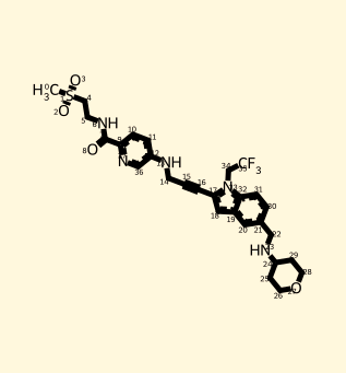 CS(=O)(=O)CCNC(=O)c1ccc(NCC#Cc2cc3cc(CNC4CCOCC4)ccc3n2CC(F)(F)F)cn1